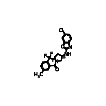 Cc1ccc(C(F)(F)F)c(C(=O)N2CC[C@@H](Nc3nc4ccc(Cl)cc4o3)C2)c1